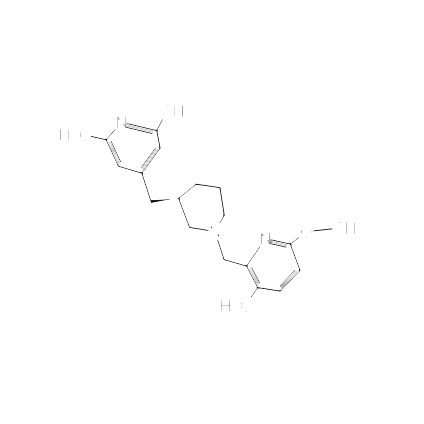 COc1ccc(C)c(CN2CCC[C@H](Cc3cc(C)nc(C)c3)C2)n1